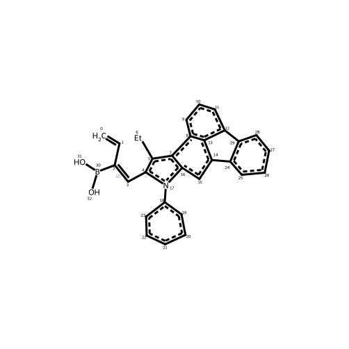 C=C/C(=C\c1c(CC)c2c3cccc4c3c(cc2n1-c1ccccc1)-c1ccccc1-4)B(O)O